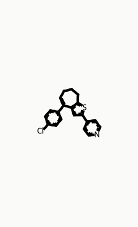 Clc1ccc(C2=CCCCc3sc(-c4ccncc4)cc32)cc1